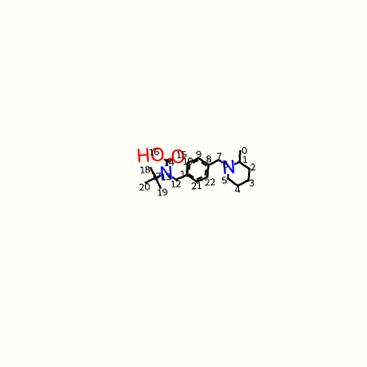 CC1CCCCN1Cc1ccc(CN(C(=O)O)C(C)(C)C)cc1